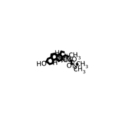 C[C@@H](NC(=O)C(=O)N(C)C)[C@H]1CC[C@H]2[C@@H]3CC=C4C[C@@H](O)CC[C@]4(C)[C@H]3CC[C@]12C